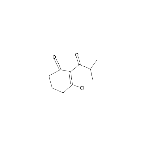 CC(C)C(=O)C1=C(Cl)CCCC1=O